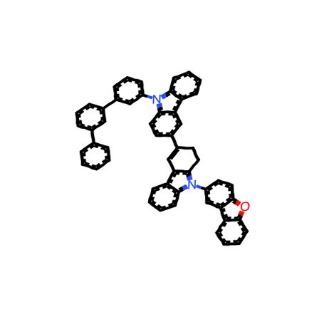 C1=C(c2ccc3c(c2)c2ccccc2n3-c2cccc(-c3cccc(-c4ccccc4)c3)c2)CCc2c1c1ccccc1n2-c1ccc2oc3ccccc3c2c1